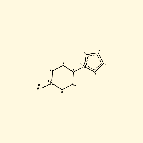 CC(=O)N1CCC(n2cccc2)CC1